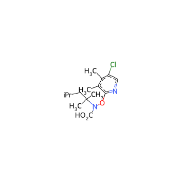 Cc1c(Cl)cnc(ON(C(=O)O)C(C)(C)CC(C)C)c1C